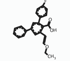 CCOC=Cc1cc(-c2ccccc2)cc(-c2ccc(F)cc2)c1C(=O)O